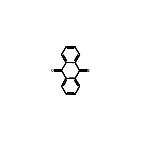 O=C1c2ccccc2C(=S)c2ccccc21